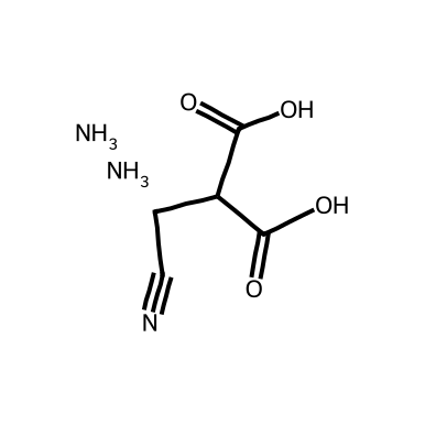 N.N.N#CCC(C(=O)O)C(=O)O